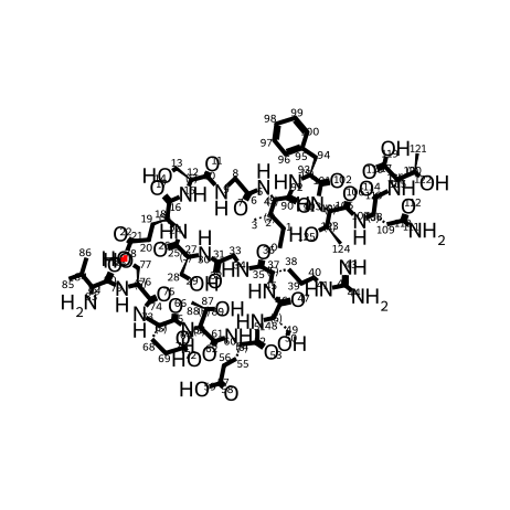 CC[C@H](C)[C@H](NC(=O)CNC(=O)[C@H](CO)NC(=O)[C@H](CCC(=O)O)NC(=O)[C@H](CO)NC(=O)CNC(=O)[C@H](CCCNC(=N)N)NC(=O)[C@H](CO)NC(=O)[C@H](CCC(=O)O)NC(=O)[C@@H](NC(=O)[C@H](CCC(=O)O)NC(=O)[C@H](CO)NC(=O)[C@@H](N)C(C)C)[C@@H](C)O)C(=O)N[C@@H](Cc1ccccc1)C(=O)N[C@H](C(=O)N[C@@H](CC(N)=O)C(=O)N[C@H](C(=O)O)[C@@H](C)O)[C@@H](C)O